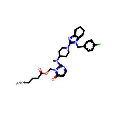 CC(=O)NCCCC(=O)OCn1c(N(C)C2CCN(c3nc4c(n3Cc3ccc(F)cc3)=CCCC=4)CC2)nccc1=O